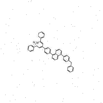 N/C(=C\C(=C/Cc1ccccc1)c1ccc(-c2cccc3c(-c4ccc(Cc5ccccc5)cc4)cccc23)cc1)C1=CC=CCC1